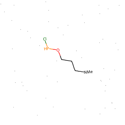 CNCCCOPCl